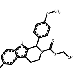 CCSC(=S)N1CCc2c([nH]c3ccc(Cl)cc23)C1c1ccc(OC)cc1